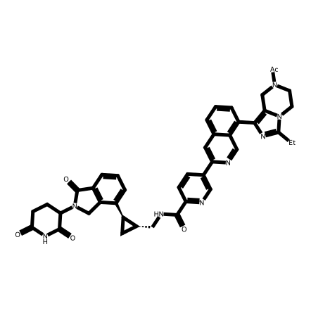 CCc1nc(-c2cccc3cc(-c4ccc(C(=O)NC[C@@H]5C[C@H]5c5cccc6c5CN(C5CCC(=O)NC5=O)C6=O)nc4)ncc23)c2n1CCN(C(C)=O)C2